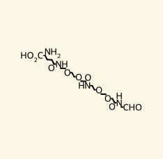 N[C@@H](CCC(=O)NCCOCCOCC(=O)NCCOCCOCC(=O)NCC=O)C(=O)O